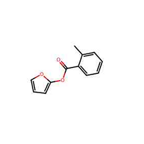 Cc1ccccc1C(=O)Oc1ccco1